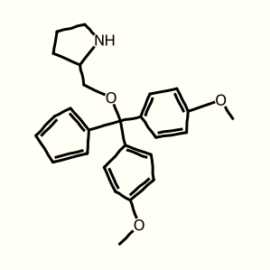 COc1ccc(C(OCC2CCCN2)(c2ccccc2)c2ccc(OC)cc2)cc1